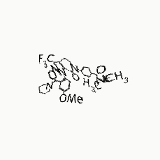 COc1ccc(-n2nc(C(F)(F)F)c3c2C(=O)N(c2ccc(C(=O)N(C)C)cc2)CC3)c(C(=O)N2CCCCC2)c1